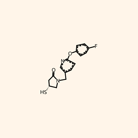 O=C1C[C@@H](S)CN1Cc1ccc(Oc2ccc(F)cc2)nc1